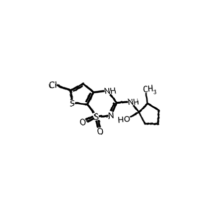 CC1CCCC1(O)NC1=NS(=O)(=O)c2sc(Cl)cc2N1